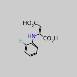 O=C(O)/C=C(\Nc1ccccc1F)C(=O)O